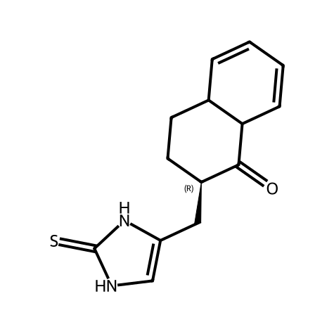 O=C1C2C=CC=CC2CC[C@@H]1Cc1c[nH]c(=S)[nH]1